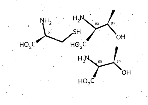 C[C@@H](O)[C@H](N)C(=O)O.C[C@@H](O)[C@H](N)C(=O)O.N[C@@H](CS)C(=O)O